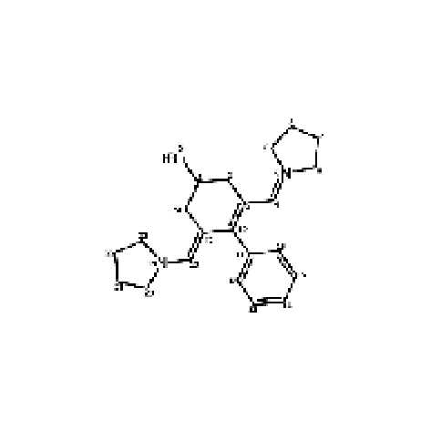 CC(C)(C)C1CC(C=[N+]2CCCC2)=C(c2ccccc2)/C(=C/N2CCCC2)C1